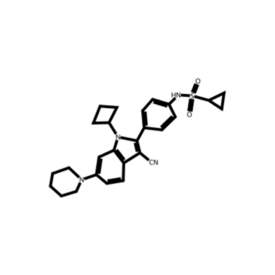 N#Cc1c(-c2ccc(NS(=O)(=O)C3CC3)cc2)n(C2CCC2)c2cc(N3CCCCC3)ccc12